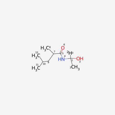 [2H]C(C)(O)NC(=O)C(C)CC(C)C